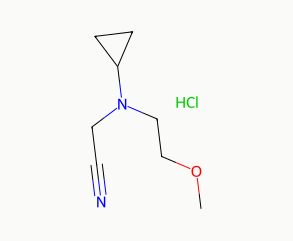 COCCN(CC#N)C1CC1.Cl